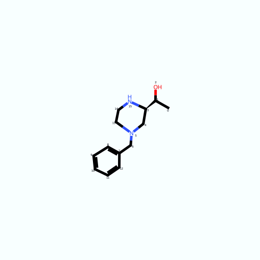 CC(O)[C@H]1CN(Cc2ccccc2)CCN1